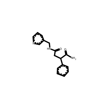 NC(=O)C([CH]C(=O)NCc1cccnc1)c1ccccc1